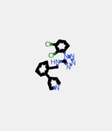 Clc1cccc(-n2nnnc2NCc2ccccc2-c2ccncc2)c1Cl